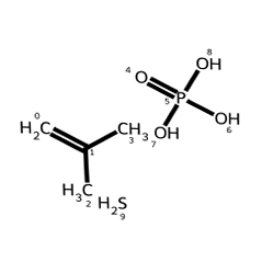 C=C(C)C.O=P(O)(O)O.S